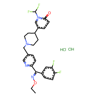 CCO/N=C(\c1ccc(F)c(F)c1)c1ccc(CN2CCC(c3ccc(=O)n(C(F)F)c3)CC2)cn1.Cl.Cl